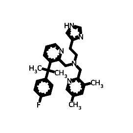 Cc1cnc(CN(CCc2c[nH]cn2)Cc2ncccc2C(C)(C)c2ccc(F)cc2)c(C)c1